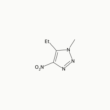 CCc1c([N+](=O)[O-])nnn1C